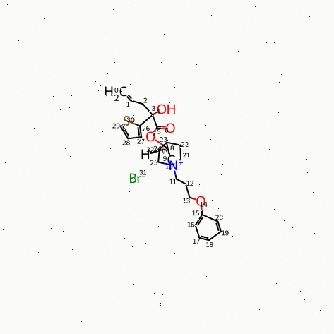 C=CCC(O)(C(=O)O[C@H]1C[N+]2(CCCOc3ccccc3)CCC1CC2)c1cccs1.[Br-]